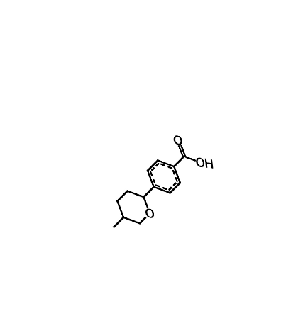 CC1CCC(c2ccc(C(=O)O)cc2)OC1